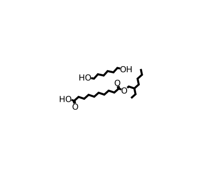 CCCCC(CC)COC(=O)CCCCCCCCC(=O)O.OCCCCCCO